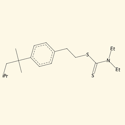 CCN(CC)C(=S)SCCc1ccc(C(C)(C)CC(C)C)cc1